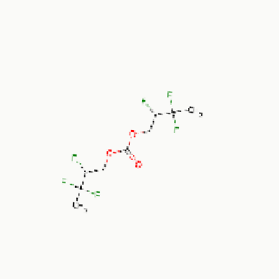 CC(F)(F)C(F)COC(=O)OCC(F)C(C)(F)F